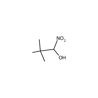 CC(C)(C)C(O)[N+](=O)[O-]